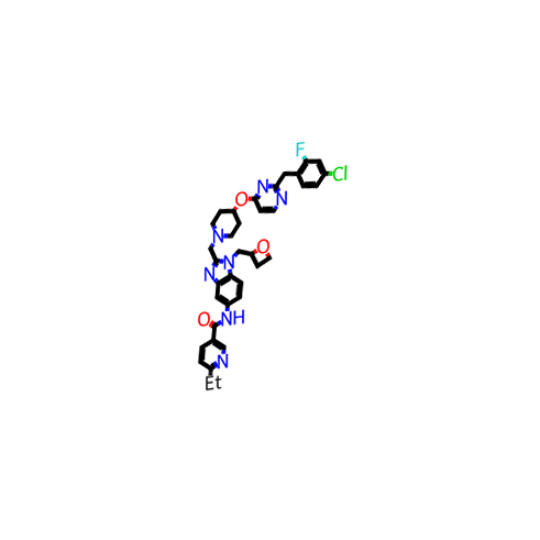 CCc1ccc(C(=O)Nc2ccc3c(c2)nc(CN2CCC(Oc4ccnc(Cc5ccc(Cl)cc5F)n4)CC2)n3CC2CCO2)cn1